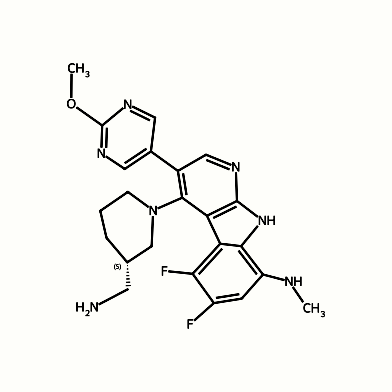 CNc1cc(F)c(F)c2c1[nH]c1ncc(-c3cnc(OC)nc3)c(N3CCC[C@@H](CN)C3)c12